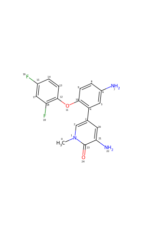 Cn1cc(-c2cc(N)ccc2Oc2ccc(F)cc2F)cc(N)c1=O